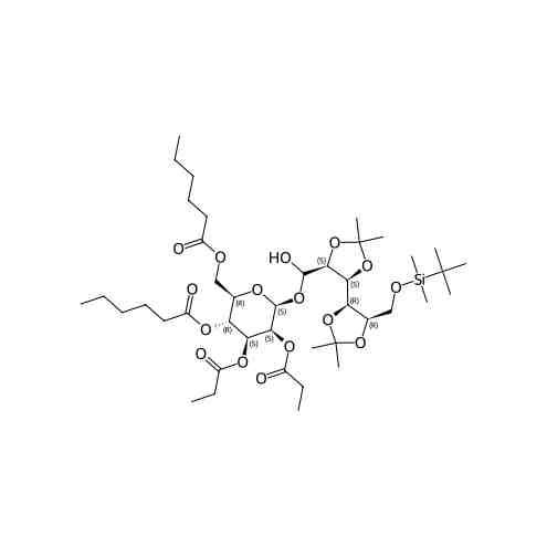 CCCCCC(=O)OC[C@H]1O[C@@H](OC(O)[C@H]2OC(C)(C)O[C@H]2[C@@H]2OC(C)(C)O[C@@H]2CO[Si](C)(C)C(C)(C)C)[C@@H](OC(=O)CC)[C@@H](OC(=O)CC)[C@@H]1OC(=O)CCCCC